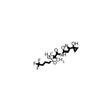 CC(C)(C(=O)Nc1cc(C2(O)CC2)no1)S(=O)(=O)CCCC(F)(F)F